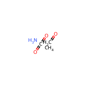 C.C=O.N.O=C=O